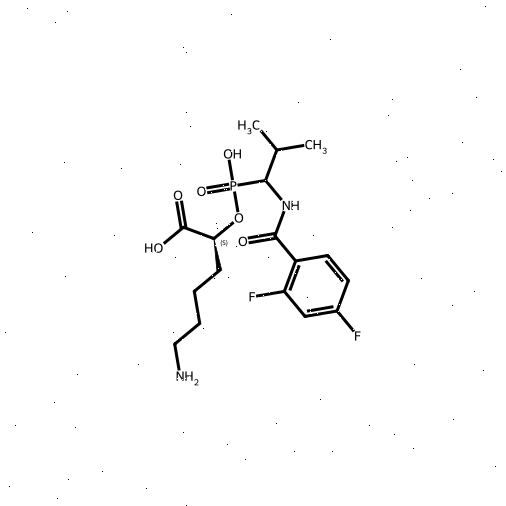 CC(C)C(NC(=O)c1ccc(F)cc1F)P(=O)(O)O[C@@H](CCCCN)C(=O)O